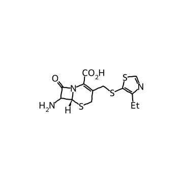 CCc1ncsc1SCC1=C(C(=O)O)N2C(=O)C(N)[C@H]2SC1